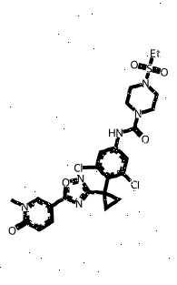 CCS(=O)(=O)N1CCN(C(=O)Nc2cc(Cl)c(C3(c4noc(-c5ccc(=O)n(C)c5)n4)CC3)c(Cl)c2)CC1